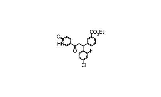 CCOC(=O)c1cccc(C(CC(=O)c2ccc(=O)[nH]c2)c2ccc(Cl)cc2F)c1